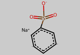 O=S(=O)([O-])c1c[c]c[c]c1.[Na+]